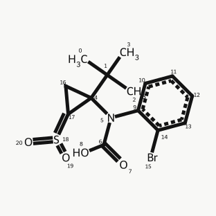 CC(C)(C)C1(N(C(=O)O)c2ccccc2Br)CC1=S(=O)=O